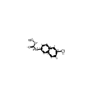 CC(C)(C)OC(=O)Nc1ccc2cc(Cl)ccc2c1